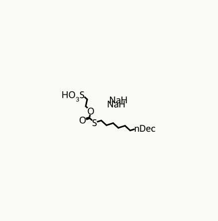 CCCCCCCCCCCCCCCCSC(=O)OCCS(=O)(=O)O.[NaH].[NaH]